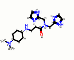 CCCN(CCC)[C@H]1CC[C@H](NCCC(=O)N(Cc2ncc[nH]2)Cc2ncc[nH]2)CC1